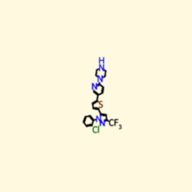 FC(F)(F)c1cc(-c2ccc(-c3ccc(N4CCNCC4)nc3)s2)n(-c2ccccc2Cl)n1